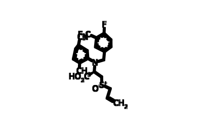 C=CC[S+]([O-])C[C@@H](C(=O)O)N(Cc1ccc(F)c(C(F)(F)F)c1)c1cc(C#N)ccc1C